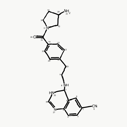 N#Cc1ccc2c(c1)C(NCCc1ccc(C(=O)N3CCC(N)C3)cc1)NC=N2